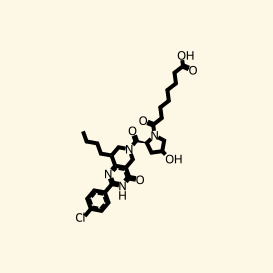 CCCCC1CN(C(=O)[C@@H]2CC(O)CN2C(=O)CCCCCCC(=O)O)Cc2c1nc(-c1ccc(Cl)cc1)[nH]c2=O